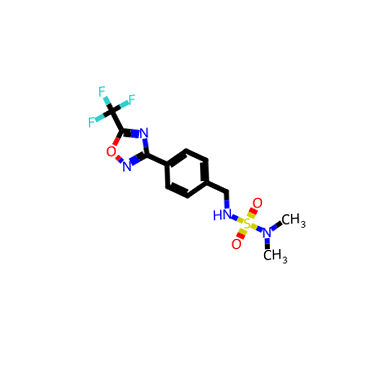 CN(C)S(=O)(=O)NCc1ccc(-c2noc(C(F)(F)F)n2)cc1